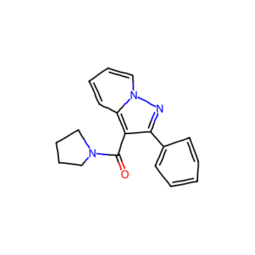 O=C(c1c(-c2ccccc2)nn2ccccc12)N1CCCC1